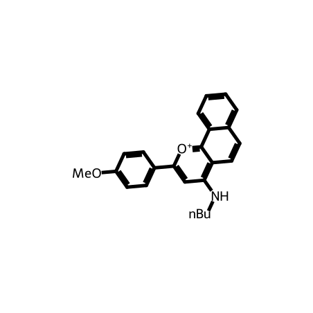 CCCCNc1cc(-c2ccc(OC)cc2)[o+]c2c1ccc1ccccc12